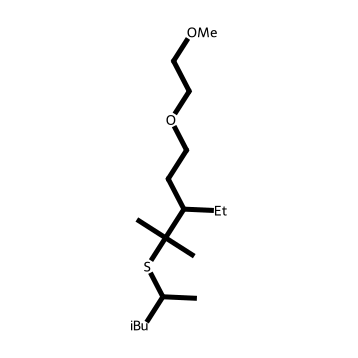 CCC(C)C(C)SC(C)(C)C(CC)CCOCCOC